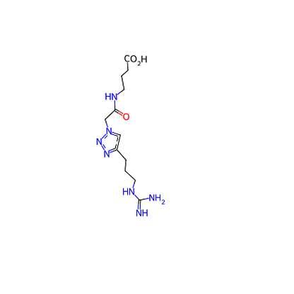 N=C(N)NCCCc1cn(CC(=O)NCCCC(=O)O)nn1